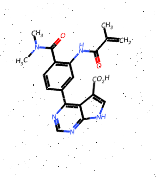 C=C(C)C(=O)Nc1cc(-c2ncnc3[nH]cc(C(=O)O)c23)ccc1C(=O)N(C)C